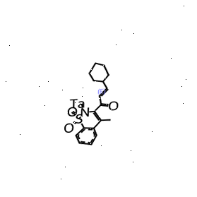 CC1=C(C(=O)/C=C/C2CCCCC2)[N]([Ta])S(=O)(=O)c2ccccc21